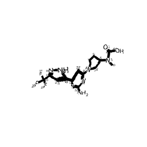 CN(C(=O)O)C1CCN(c2cc(-c3cc(C(F)(F)F)n[nH]3)nc(N)n2)C1